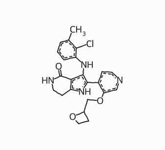 Cc1cccc(Nc2c(-c3ccncc3OCC3CCO3)[nH]c3c2C(=O)NCC3)c1Cl